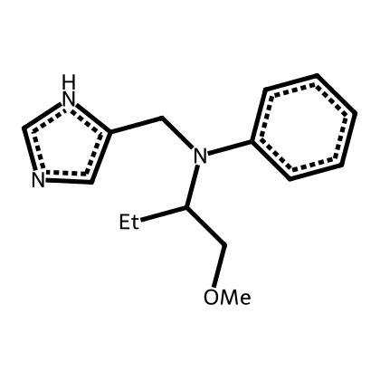 CCC(COC)N(Cc1cnc[nH]1)c1ccccc1